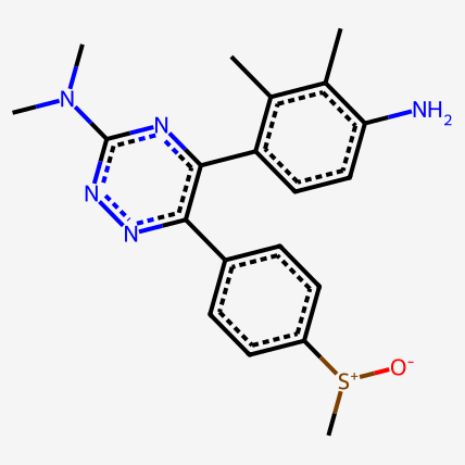 Cc1c(N)ccc(-c2nc(N(C)C)nnc2-c2ccc([S+](C)[O-])cc2)c1C